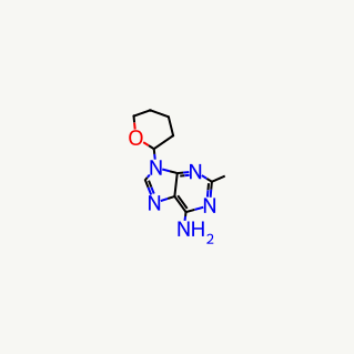 Cc1nc(N)c2ncn(C3CCCCO3)c2n1